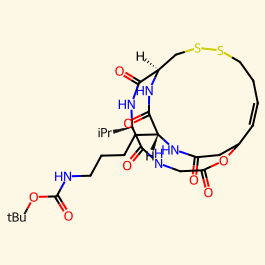 CC(C)[C@H]1NC(=O)[C@H]2CSSCC/C=C\C(CC(=O)N[C@H](CCCCNC(=O)OC(C)(C)C)C(=O)N2)OC(=O)CNC1=O